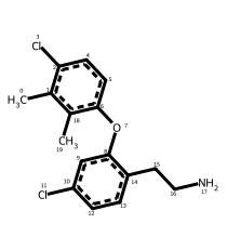 Cc1c(Cl)ccc(Oc2cc(Cl)ccc2CCN)c1C